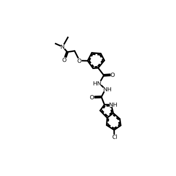 CN(C)C(=O)COc1cccc(C(=O)NNC(=O)c2cc3cc(Cl)ccc3[nH]2)c1